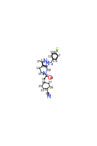 Cc1nn(Cc2ccc(F)cc2)c2c1CCN(C(=O)C[C@H]1CC[C@H](C#N)CC1)C2